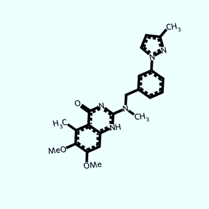 COc1cc2[nH]c(N(C)Cc3cccc(-n4ccc(C)n4)c3)nc(=O)c2c(C)c1OC